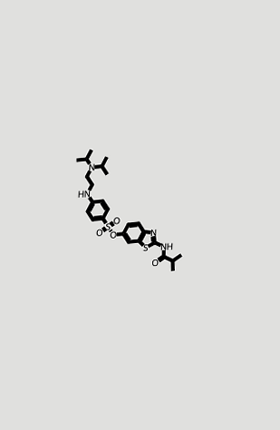 CC(C)C(=O)Nc1nc2ccc(OS(=O)(=O)c3ccc(NCCN(C(C)C)C(C)C)cc3)cc2s1